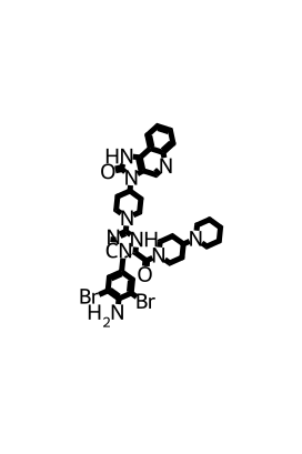 N#CN=C(N[C@@H](Cc1cc(Br)c(N)c(Br)c1)C(=O)N1CCC(N2CCCCC2)CC1)N1CCC(n2c(=O)[nH]c3c4ccccc4ncc32)CC1